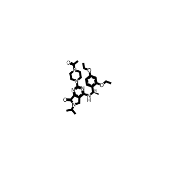 CCOc1ccc([C@@H](C)Nc2nc(N3CCN(C(C)=O)CC3)nc3c2CN(C(C)C)C3=O)c(OCC)c1